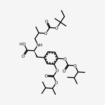 CCC(C)(C)OC(=O)OC(C)CN[C@@H](Cc1ccc(OC(=O)OC(C)C(C)C)c(OC(=O)OC(C)C(C)C)c1)C(=O)O